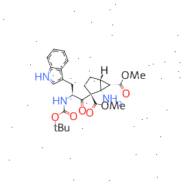 COC(=O)[C@H]1[C@H]2CC[C@@](C(=O)OC)(C(=O)[C@H](Cc3c[nH]c4ccccc34)NC(=O)OC(C)(C)C)[C@@]21N